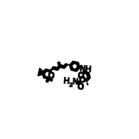 CC(/C=C/[C@@H]1CC2(CC2)CC(C)(C)O1)=C\C[C@H]1CC[C@@H](NC(=O)/C=C\[C@H](C)OC(N)=O)CC1